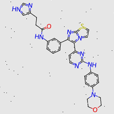 O=C(CCc1c[nH]cn1)Nc1cccc(-c2nc3sccn3c2-c2ccnc(Nc3ccc(N4CCOCC4)cc3)n2)c1